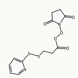 O=C(CCSSc1ccccn1)OON1C(=O)CCC1=O